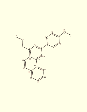 CCCc1cc(-c2ccc(OC)cc2)nc2c1ccc1ccccc12